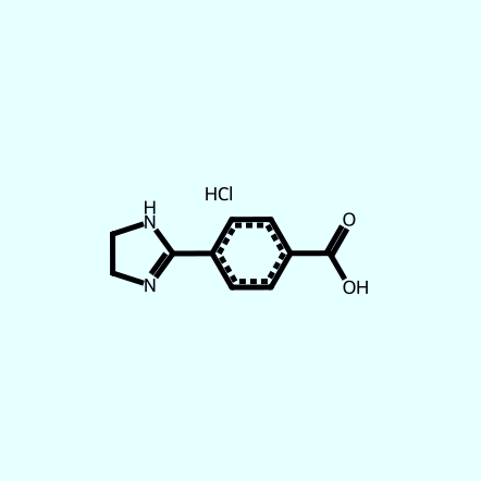 Cl.O=C(O)c1ccc(C2=NCCN2)cc1